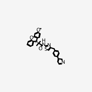 COc1ccc2c(c1)Oc1ccccc1[C@H]2C(C)(C)C(=O)Nc1nc(Cc2ccc(-c3cccnc3)cc2)cs1